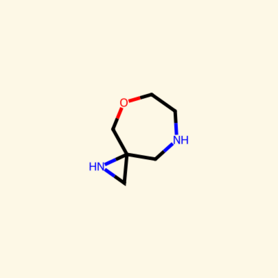 C1COCC2(CN1)CN2